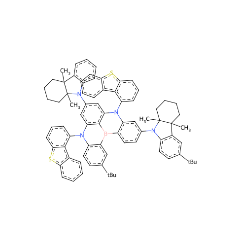 CC(C)(C)c1ccc2c(c1)B1c3ccc(N4c5ccc(C(C)(C)C)cc5C5(C)CCCCC45C)cc3N(c3cccc4sc5ccccc5c34)c3cc(N4c5ccccc5C5(C)CCCCC45C)cc(c31)N2c1cccc2sc3ccccc3c12